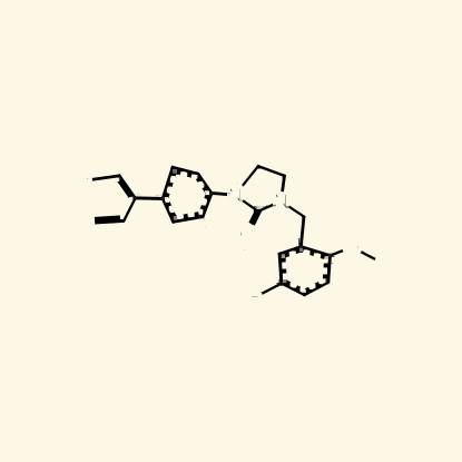 C=C/C(=C\C)c1ccc(N2CCN(Cc3cc(F)ccc3OC)C2=O)cc1